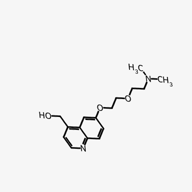 CN(C)CCOCCOc1ccc2nccc(CO)c2c1